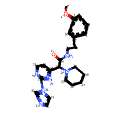 COc1cccc(CCNC(=O)C(c2ccnc(-n3ccnc3)n2)N2CCCCC2)c1